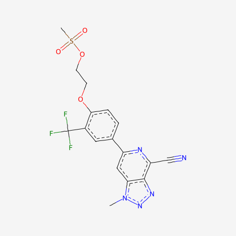 Cn1nnc2c(C#N)nc(-c3ccc(OCCOS(C)(=O)=O)c(C(F)(F)F)c3)cc21